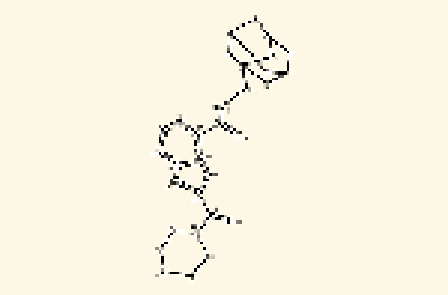 O=C(NCC12CC3CC(CC(C3)C1)C2)c1cccc2nc(C(=O)N3CCOCC3)cn12